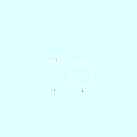 CN(C)c1cccnc1Br